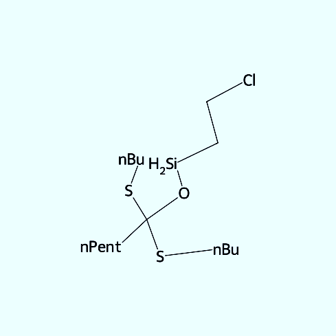 CCCCCC(O[SiH2]CCCl)(SCCCC)SCCCC